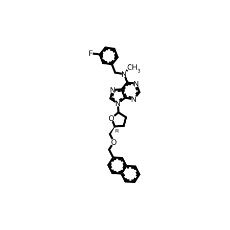 CN(Cc1cccc(F)c1)c1ncnc2c1ncn2C1CC[C@@H](COCc2ccc3ccccc3c2)O1